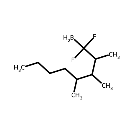 BC(F)(F)C(C)C(C)C(C)CCCC